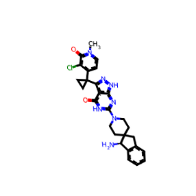 Cn1ccc(C2(c3n[nH]c4nc(N5CCC6(CC5)Cc5ccccc5[C@H]6N)[nH]c(=O)c34)CC2)c(Cl)c1=O